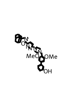 COc1cc(-c2cccc(O)c2)cc(OC)c1CN1CCN(c2ccc(C(=O)N(C)CC34CC5CC(CC(C5)C3)C4)nn2)CC1